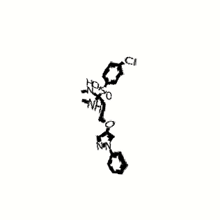 CNC(CCOc1cnn(-c2ccccc2)c1)(NC)S(=O)(=O)c1ccc(Cl)cc1